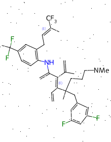 C=C/C(=C(/C(=C)C)C(=C)Nc1ccc(C(C)(F)F)cc1C/C=C(\C)C(F)(F)F)C(C)(CCCNC)Cc1cc(F)cc(F)c1